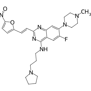 CN1CCN(c2cc3nc(/C=C/c4ccc(N=O)o4)nc(NCCCN4CCCC4)c3cc2F)CC1